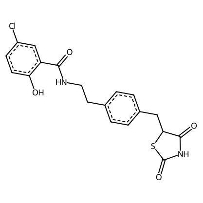 O=C1NC(=O)C(Cc2ccc(CCNC(=O)c3cc(Cl)ccc3O)cc2)S1